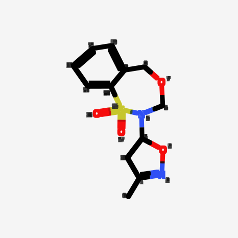 CC1=NOC(N2COCc3ccccc3S2(=O)=O)C1